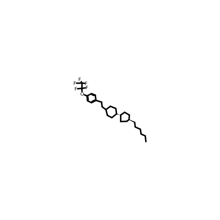 CCCCCC[C@H]1CC[C@H](C2CCC(CCc3ccc(OC(F)(F)C(F)(F)F)cc3)CC2)CC1